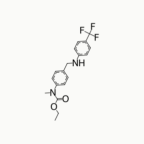 CCOC(=O)N(C)c1ccc(CNc2ccc(C(F)(F)F)cc2)cc1